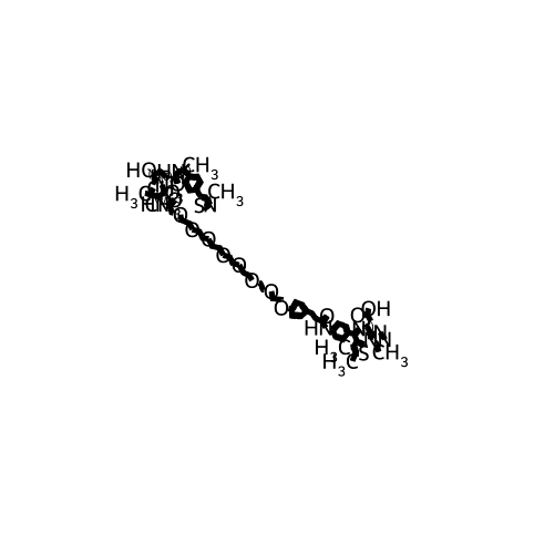 Cc1ncsc1-c1ccc([C@H](C)NC(=O)[C@@H]2C[C@@H](O)CN2C(=O)[C@@H](NC(=O)COCCOCCOCCOCCOCCOCCOCCOc2ccc(CCC(=O)Nc3ccc(C4=N[C@@H](CC(=O)O)c5nnc(C)n5-c5sc(C)c(C)c54)cc3)cc2)C(C)(C)C)cc1